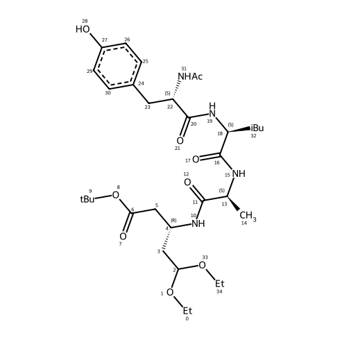 CCOC(C[C@H](CC(=O)OC(C)(C)C)NC(=O)[C@H](C)NC(=O)[C@@H](NC(=O)[C@H](Cc1ccc(O)cc1)NC(C)=O)C(C)CC)OCC